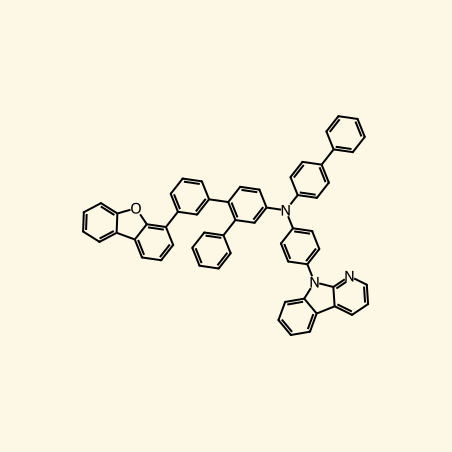 c1ccc(-c2ccc(N(c3ccc(-n4c5ccccc5c5cccnc54)cc3)c3ccc(-c4cccc(-c5cccc6c5oc5ccccc56)c4)c(-c4ccccc4)c3)cc2)cc1